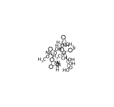 CC(C)n1c(/C=C/[C@@H](O)C[C@@H](O)CC(=O)O)c(-c2ccc(F)cc2)c2ccccc21.CCOc1nc2cccc(C(=O)O)c2n1Cc1ccc(-c2ccccc2-c2nnn[nH]2)cc1.CNC(C)(C)Cc1ccccc1